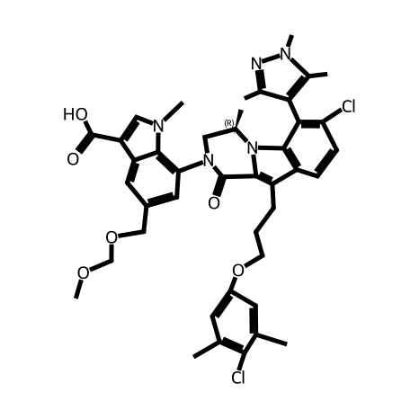 COCOCc1cc(N2C[C@@H](C)n3c(c(CCCOc4cc(C)c(Cl)c(C)c4)c4ccc(Cl)c(-c5c(C)nn(C)c5C)c43)C2=O)c2c(c1)c(C(=O)O)cn2C